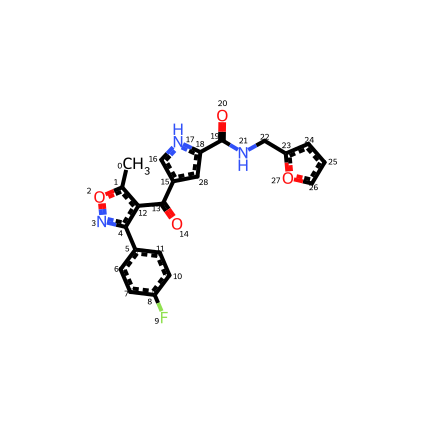 Cc1onc(-c2ccc(F)cc2)c1C(=O)c1c[nH]c(C(=O)NCc2ccco2)c1